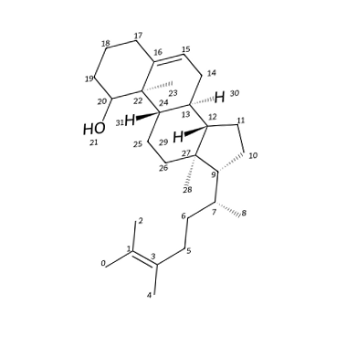 CC(C)=C(C)CC[C@@H](C)[C@H]1CC[C@H]2[C@@H]3CC=C4CCCC(O)[C@]4(C)[C@H]3CC[C@]12C